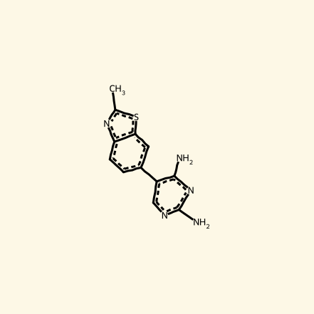 Cc1nc2ccc(-c3cnc(N)nc3N)cc2s1